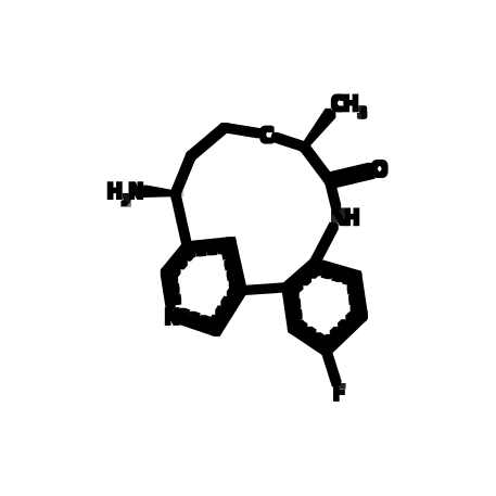 C[C@@H]1CCC[C@H](N)c2cncc(c2)-c2cc(F)ccc2NC1=O